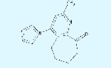 Cc1cc(-n2cccc2)c2c(n1)C(=O)CCCC2